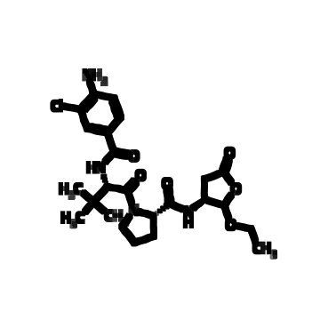 CCOC1OC(=O)C[C@@H]1NC(=O)[C@@H]1CCCN1C(=O)[C@@H](NC(=O)c1ccc(N)c(Cl)c1)C(C)(C)C